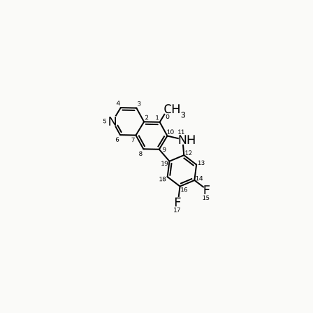 Cc1c2ccncc2cc2c1[nH]c1cc(F)c(F)cc12